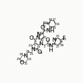 O=C(Cn1c2c(c(=O)n3nc(C(=O)Nc4ccccc4F)cc13)CN(CCN1CCOCC1)C2=O)Nc1ccc(F)cn1